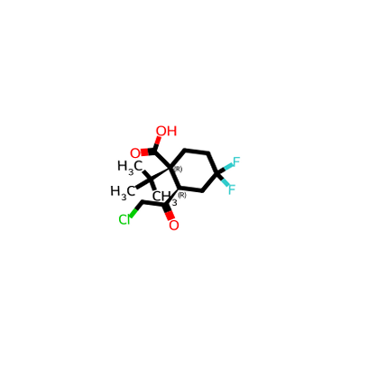 CC(C)(C)[C@@]1(C(=O)O)CCC(F)(F)C[C@H]1C(=O)CCl